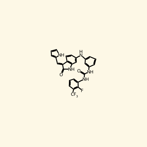 O=C(Nc1cccc(Nc2ccc3c(c2)NC(=O)C3=Cc2ccc[nH]2)c1)Nc1cccc(C(F)(F)F)c1F